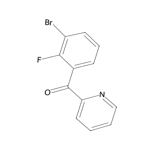 O=C(c1ccccn1)c1cccc(Br)c1F